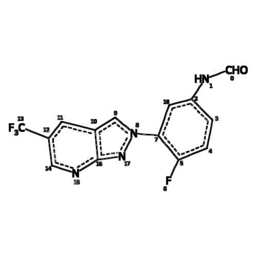 O=CNc1ccc(F)c(-n2cc3cc(C(F)(F)F)cnc3n2)c1